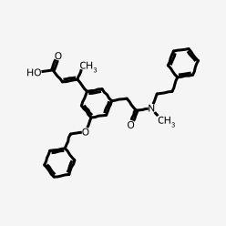 CC(=CC(=O)O)c1cc(CC(=O)N(C)CCc2ccccc2)cc(OCc2ccccc2)c1